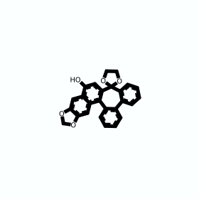 Oc1cc2c(c3cc4c(cc13)OCO4)-c1ccccc1-c1ccccc1C21OCCO1